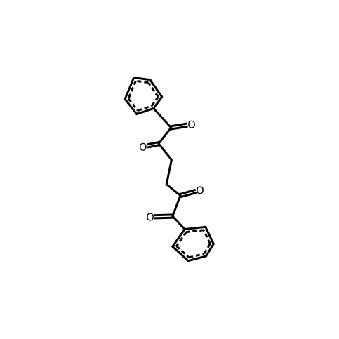 O=C(CCC(=O)C(=O)c1ccccc1)C(=O)c1ccccc1